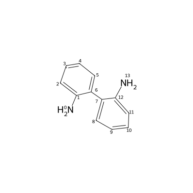 Nc1c[c]ccc1-c1ccccc1N